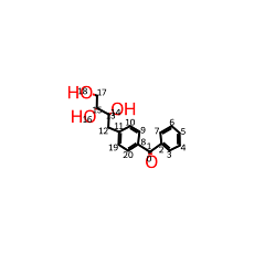 O=C(c1ccccc1)c1ccc(CC(O)C(O)CO)cc1